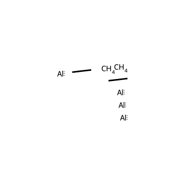 C.C.CC.CC.[Al].[Al].[Al].[Al]